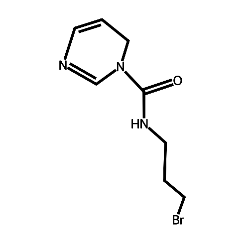 O=C(NCCCBr)N1C=NC=CC1